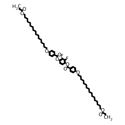 C=CC(=O)OCCCCCCCCCCCCCCCCCOc1ccc(C(=O)Oc2ccc(OC(=O)c3ccc(OCCCCCCCCCCCCCCCCCOC(=O)C=C)cc3)c(F)c2F)cc1